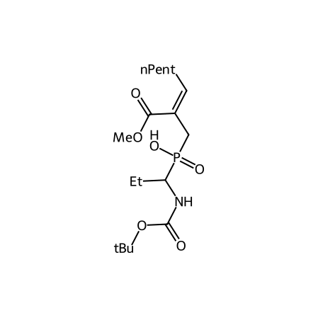 CCCCCC=C(CP(=O)(O)C(CC)NC(=O)OC(C)(C)C)C(=O)OC